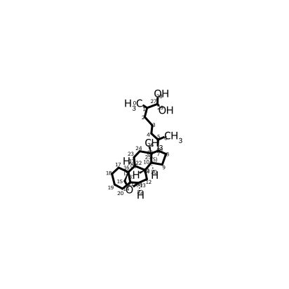 CC(CCCC(C)[C@H]1CC[C@H]2[C@@H]3C[C@H]4OC[C@@]5(CCCCC45)[C@H]3CC[C@]12C)C(O)O